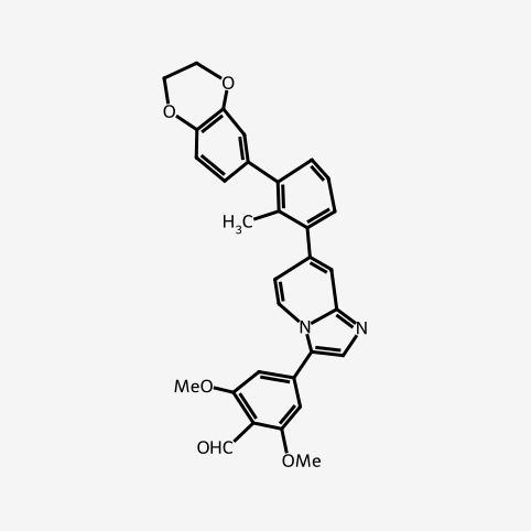 COc1cc(-c2cnc3cc(-c4cccc(-c5ccc6c(c5)OCCO6)c4C)ccn23)cc(OC)c1C=O